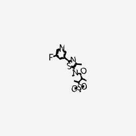 Cc1nc(-c2cncc(F)c2)sc1N(C)C(=O)C(C)C(C)S(C)(=O)=O